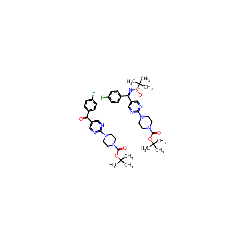 CC(C)(C)OC(=O)N1CCN(c2ncc(/C(=N\[S@@+]([O-])C(C)(C)C)c3ccc(F)cc3)cn2)CC1.CC(C)(C)OC(=O)N1CCN(c2ncc(C(=O)c3ccc(F)cc3)cn2)CC1